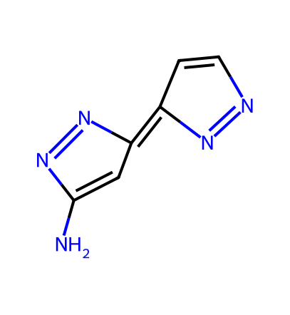 NC1=CC(=C2C=CN=N2)N=N1